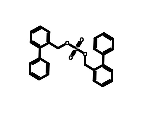 O=S(=O)(OCc1ccccc1-c1ccccc1)OCc1ccccc1-c1ccccc1